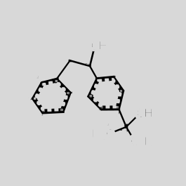 CC(Cc1ccccc1)c1ccc(C(C)(C)C)cc1